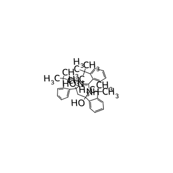 CC(C)(C)c1ccccc1C1=NC(O)(c2ccccc2C(C)(C)C)CC(O)(c2ccccc2C(C)(C)C)N1